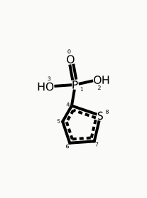 O=P(O)(O)c1cccs1